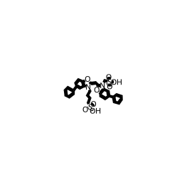 O=S(=O)(O)CCCCN1C(=Cc2oc3ccc(-c4ccccc4)cc3[n+]2CS(=O)(=O)O)Oc2ccc(-c3ccccc3)cc21